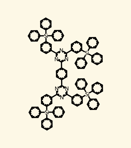 c1ccc([Si](c2ccccc2)(c2ccccc2)c2cccc(-c3nc(-c4ccc(-c5nc(-c6cccc([Si](c7ccccc7)(c7ccccc7)c7ccccc7)c6)nc(-c6cccc([Si](c7ccccc7)(c7ccccc7)c7ccccc7)c6)n5)cc4)nc(-c4cccc([Si](c5ccccc5)(c5ccccc5)c5ccccc5)c4)n3)c2)cc1